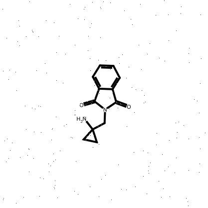 NC1(CN2C(=O)c3ccccc3C2=O)CC1